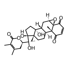 CC1=C(C)C(=O)O[C@@H]([C@](C)(O)[C@]2(O)CC[C@@]3(O)[C@@H]4C[C@H]5O[C@]56C(=O)C=CC(=O)[C@]6(C)[C@H]4CC[C@]23C)C1